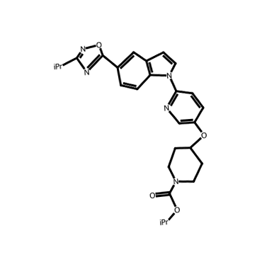 CC(C)OC(=O)N1CCC(Oc2ccc(-n3ccc4cc(-c5nc(C(C)C)no5)ccc43)nc2)CC1